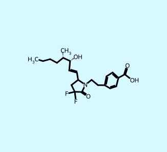 CCCC[C@H](C)[C@H](O)C=CC1CC(F)(F)C(=O)N1CCc1ccc(C(=O)O)cc1